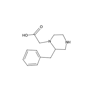 O=C(O)CN1CCNCC1Cc1ccccc1